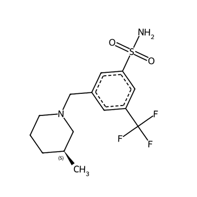 C[C@H]1CCCN(Cc2cc(C(F)(F)F)cc(S(N)(=O)=O)c2)C1